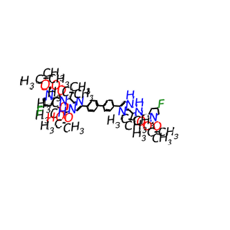 CC(C)OC(O)(OC(C)C)n1cc(-c2ccc(-c3ccc(-c4c[nH]c([C@@H](NC(=O)[C@@H]5C[C@@H](F)CN5C(=O)OC(C)(C)C)C(C)(C)C)n4)cc3)cc2)nc1[C@@H](NC(=O)[C@@H]1C[C@@H](F)CN1C(=O)OC(C)(C)C)C(C)(C)C